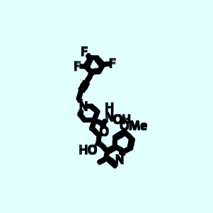 COc1ccc2ncc(C)c([C@H](O)CCC3(C(=O)NO)CCN(CC#Cc4cc(F)cc(F)c4F)CC3)c2c1